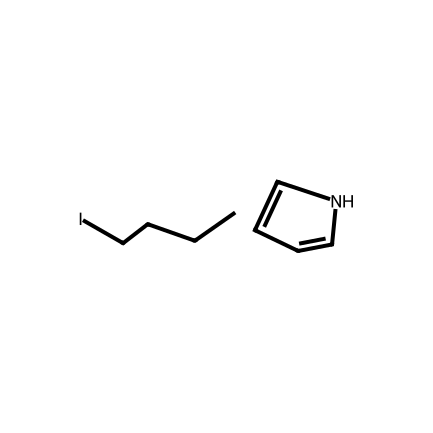 CCCCI.c1cc[nH]c1